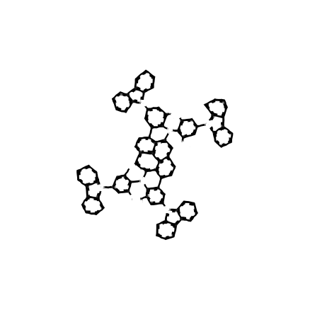 Cc1cc(-n2c3ccccc3c3ccccc32)cc(C)c1B1c2c(C)cc(-n3c4ccccc4c4ccccc43)cc2-c2ccc3cc4c5c(ccc6cc1c2c3c65)-c1cc(-n2c3ccccc3c3ccccc32)cc(C)c1B4c1c(C)cc(-n2c3ccccc3c3ccccc32)cc1C